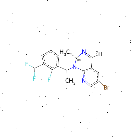 [2H]C1=N[C@@H](C)N(C(C)c2cccc(C(F)F)c2F)c2ncc(Br)cc21